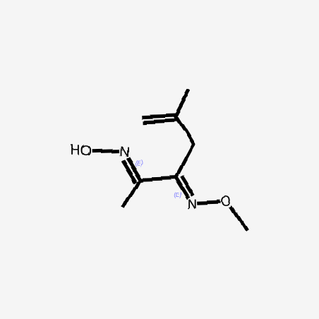 C=C(C)CC(=N\OC)/C(C)=N/O